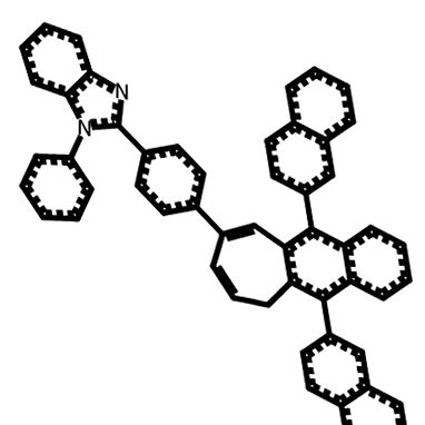 C1=CC(c2ccc(-c3nc4ccccc4n3-c3ccccc3)cc2)=Cc2c(c(-c3ccc4ccccc4c3)c3ccccc3c2-c2ccc3ccccc3c2)C1